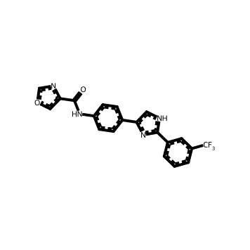 O=C(Nc1ccc(-c2c[nH]c(-c3cccc(C(F)(F)F)c3)n2)cc1)c1cocn1